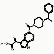 COC(=O)C(=O)c1c[nH]c2ccc(C(=O)N3CCN(C(C)c4ccccc4)CC3)cc12